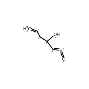 C=CCC(O)C=S=O